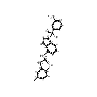 [2H]C([2H])(c1ccnc(N)c1)n1ccc2c(NC(=O)Nc3cc(C)ccc3F)cccc21